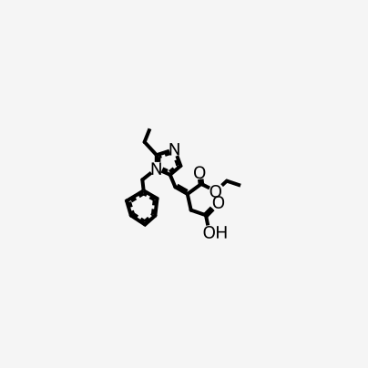 CCOC(=O)/C(=C\c1cnc(CC)n1Cc1ccccc1)CC(=O)O